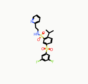 CC(C)c1ccc(S(=O)(=O)c2cc(F)cc(F)c2)cc1S(=O)(=O)NCCc1ccccn1